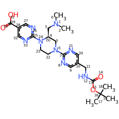 CN(C)C[C@H]1CN(c2ncc(CNC(=O)OC(C)(C)C)cn2)CCN1c1ncc(C(=O)O)cn1